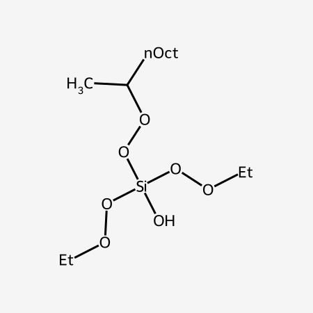 CCCCCCCCC(C)OO[Si](O)(OOCC)OOCC